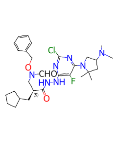 CN(C)C1CN(c2nc(Cl)nc(NNC(=O)[C@@H](CC3CCCC3)CN(C=O)OCc3ccccc3)c2F)C(C)(C)C1